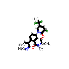 CC[C@H](C)/C=C(\C=N/C)c1ccccc1C(=O)N(CC)[C@@H](C)COc1ncc(C(C)(F)F)cc1F